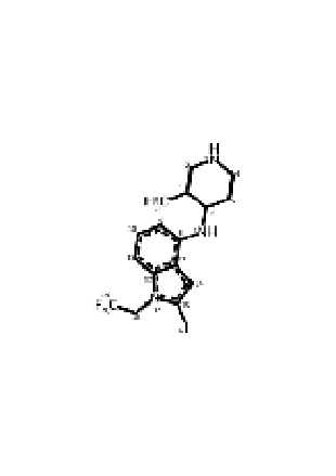 CC1CNCCC1Nc1cccc2c1cc(I)n2CC(F)(F)F